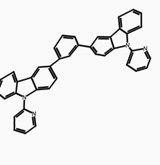 c1ccc(-n2c3ccccc3c3cc(-c4cccc(-c5ccc6c(c5)c5ccccc5n6-c5ccccn5)c4)ccc32)nc1